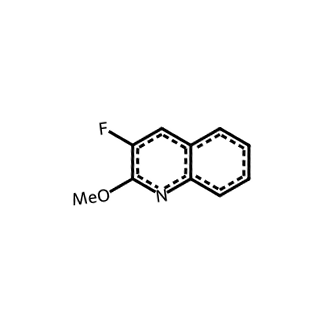 COc1nc2ccccc2cc1F